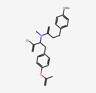 C=C(C)Oc1ccc(CC(C(=C)CC)N(C)C(=C)CCc2ccc(OC)cc2)cc1